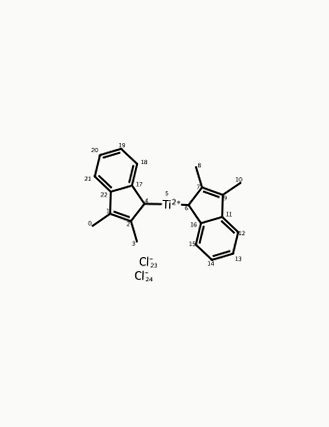 CC1=C(C)[CH]([Ti+2][CH]2C(C)=C(C)c3ccccc32)c2ccccc21.[Cl-].[Cl-]